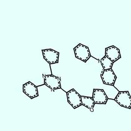 c1ccc(-c2nc(-c3ccccc3)nc(-c3ccc4oc5cc(-c6ccccc6-c6ccc7c(c6)c6ccccc6n7-c6ccccc6)ccc5c4c3)n2)cc1